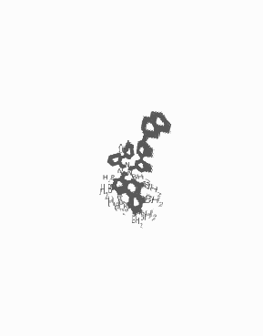 Bc1c(B)c(B)c2c(c1B)c(B)c(B)c1c(-c3nc(-c4cccc(-c5ccc(-c6ccc7ccccc7c6)cc5)c4)nc(-c4cccc5oc6ccccc6c45)n3)c(B)c(B)c(B)c12